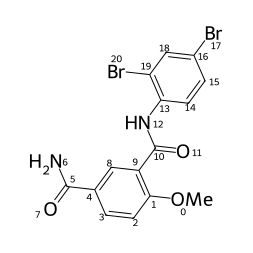 COc1ccc(C(N)=O)cc1C(=O)Nc1ccc(Br)cc1Br